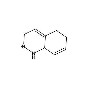 C1=CC2N[N]CC=C2CC1